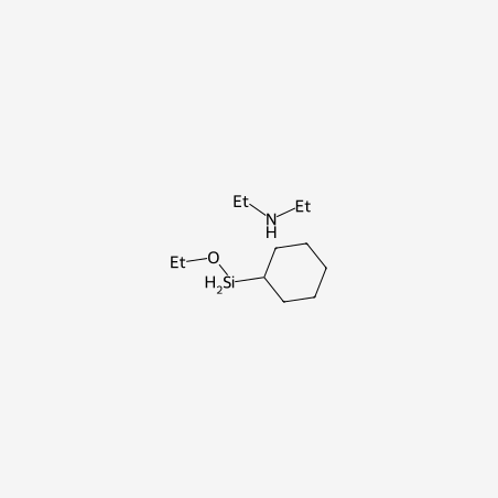 CCNCC.CCO[SiH2]C1CCCCC1